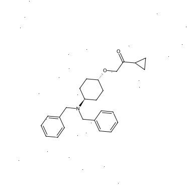 O=C(CO[C@H]1CC[C@H](N(Cc2ccccc2)Cc2ccccc2)CC1)C1CC1